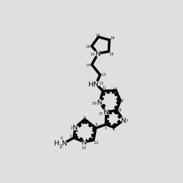 Nc1ncc(-c2cnc3ccc(NCCN4CCCC4)nn23)cn1